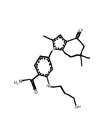 Cc1cc2c(n1-c1ccc(C(N)=O)c(NCCCO)c1)CC(C)(C)CC2=O